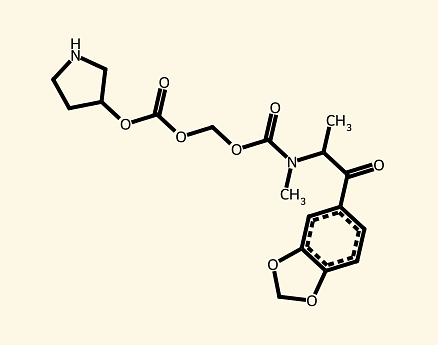 CC(C(=O)c1ccc2c(c1)OCO2)N(C)C(=O)OCOC(=O)OC1CCNC1